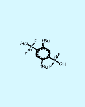 CC(C)(C)c1cc([PH](O)(F)F)c(C(C)(C)C)cc1[PH](O)(F)F